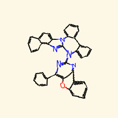 c1ccc(-c2nc(N3c4ccccc4-c4ccccc4-n4c3nc3c5ccccc5ccc34)nc3c2oc2ccccc23)cc1